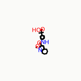 COc1nc2c(cc1C(=O)Nc1ccc(C(C)(C)C(=O)O)cc1)CCCCC2